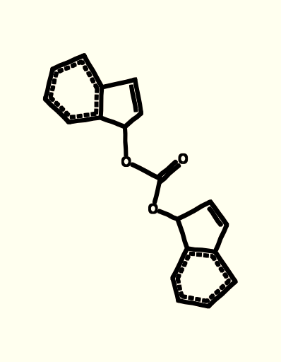 O=C(OC1C=Cc2ccccc21)OC1C=Cc2ccccc21